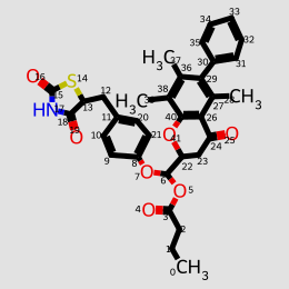 CCCC(=O)OC(Oc1ccc(CC2SC(=O)NC2=O)cc1)C1CC(=O)c2c(C)c(-c3ccccc3)c(C)c(C)c2O1